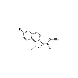 CC1CN(C(=O)OC(C)(C)C)c2ccc3cc(F)ccc3c21